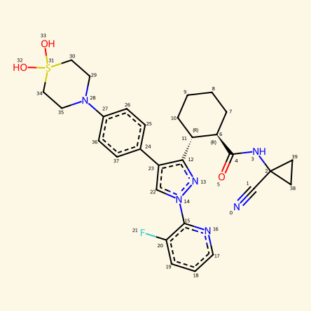 N#CC1(NC(=O)[C@@H]2CCCC[C@H]2c2nn(-c3ncccc3F)cc2-c2ccc(N3CCS(O)(O)CC3)cc2)CC1